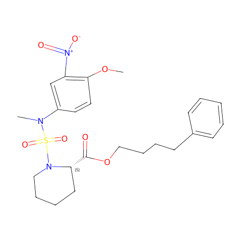 COc1ccc(N(C)S(=O)(=O)N2CCCC[C@H]2C(=O)OCCCCc2ccccc2)cc1[N+](=O)[O-]